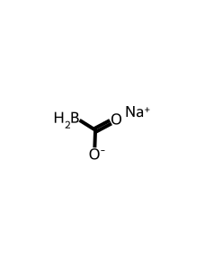 BC(=O)[O-].[Na+]